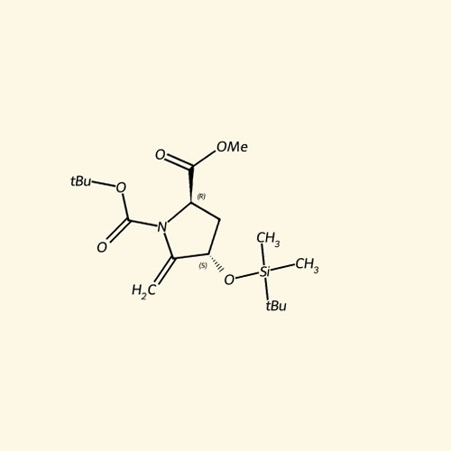 C=C1[C@@H](O[Si](C)(C)C(C)(C)C)C[C@H](C(=O)OC)N1C(=O)OC(C)(C)C